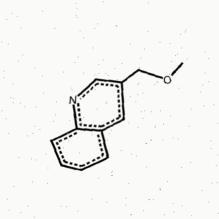 COCc1cnc2ccccc2c1